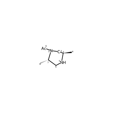 CC(=O)N1C[C@@H](C)NC[C@@H]1C